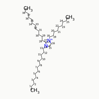 CCCCCCCCCCCCCCn1cc[n+](CCCCCCCCC)c1CCCCCCCCCCCC